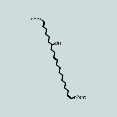 CCCCC/C=C\CCCCCCCCC=CCCC(O)CCCCC=CCCCCCC